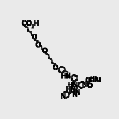 CC(C)(C)OC(=O)N1CCC(Nc2cccc(NCc3ccc(OCCCCCCOCCOCCOCCCCCC(=O)O)cc3)c2)(c2nnc(-c3ccncc3)[nH]2)CC1